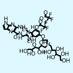 CCn1c(CNC(=O)c2nc3cc[nH]c3nc2N)[n+](CC)c2cc(OCCN(CC(O)C(O)C(O)C(O)CO)CC(O)C(O)C(O)C(O)CO)ccc21.O=C(O)C(F)(F)F.O=C([O-])C(F)(F)F